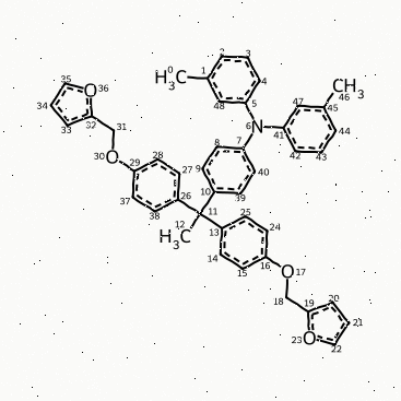 Cc1cccc(N(c2ccc(C(C)(c3ccc(OCc4ccco4)cc3)c3ccc(OCc4ccco4)cc3)cc2)c2cccc(C)c2)c1